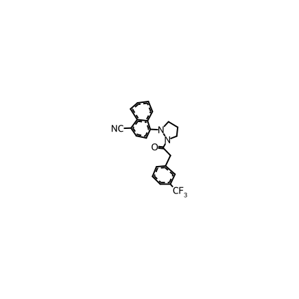 N#Cc1ccc(N2CCCN2C(=O)Cc2cccc(C(F)(F)F)c2)c2ccccc12